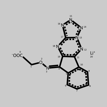 O=C([O-])CON=C1c2ccccc2-c2nn3nnnc3nc21.[Li+]